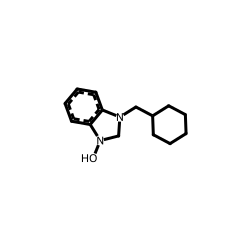 ON1CN(CC2CCCCC2)c2ccccc21